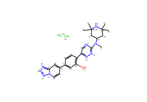 CN(c1ncc(-c2ccc(-c3ccn4nnnc4c3)cc2O)nn1)C1CC(C)(C)NC(C)(C)C1.Cl.Cl